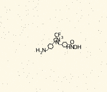 NCc1ccc(-c2cc(C(F)(F)F)nn2Cc2ccc(C(=O)NO)cc2)cc1